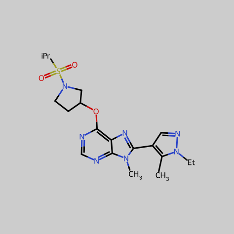 CCn1ncc(-c2nc3c(OC4CCN(S(=O)(=O)C(C)C)C4)ncnc3n2C)c1C